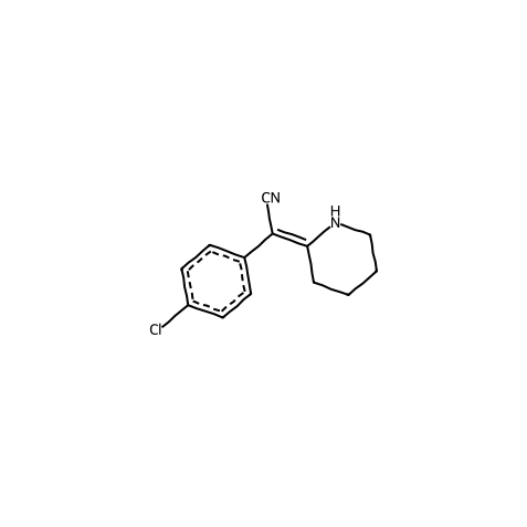 N#CC(=C1CCCCN1)c1ccc(Cl)cc1